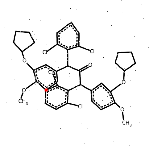 COc1ccc(C(C(=O)C(c2ccc(OC)c(OC3CCCC3)c2)c2c(Cl)cccc2Cl)c2c(Cl)cccc2Cl)cc1OC1CCCC1